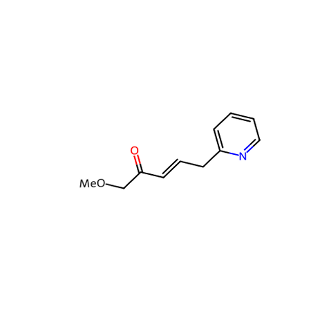 COCC(=O)/C=C/Cc1ccccn1